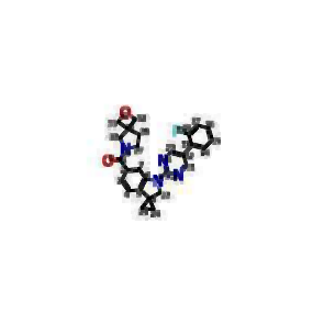 O=C(c1ccc2c(c1)N(c1ncc(-c3ccccc3F)cn1)CC21CC1)N1CCC2(COC2)C1